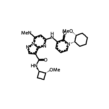 CNc1cc(Nc2cccn([C@H]3CCCC[C@H]3OC)c2=O)nc2c(C(=O)N[C@@H]3CC[C@H]3OC)cnn12